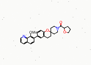 COc1c(-c2ccc3c(c2)CCC2(CCN(C(=O)C4CCCO4)CC2)O3)ccc2cccnc12